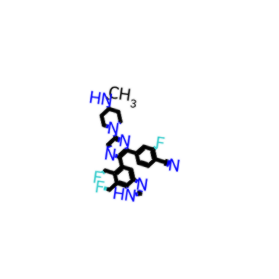 CNC1CCN(c2cnc(-c3cc4nc[nH]c4c(CF)c3CF)c(-c3ccc(C#N)c(F)c3)n2)CC1